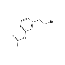 CC(=O)Oc1cccc(CCBr)c1